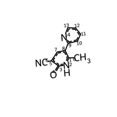 Cc1[nH]c(=O)c(C#N)cc1-c1ccccn1